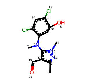 Cc1nn(C)c(N(C)c2cc(O)c(Cl)cc2Cl)c1C=O